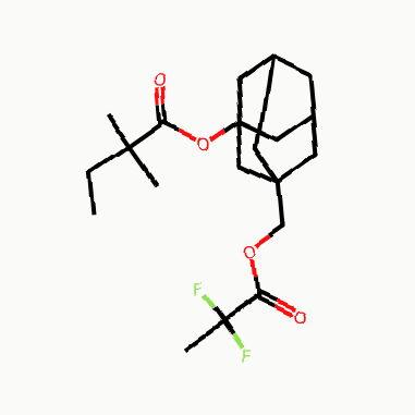 CCC(C)(C)C(=O)OC12CC3CC(CC(COC(=O)C(C)(F)F)(C3)C1)C2